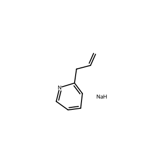 C=CCc1ccccn1.[NaH]